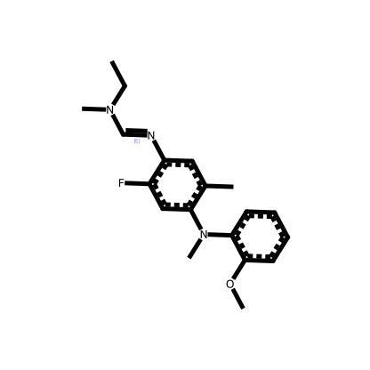 CCN(C)/C=N/c1cc(C)c(N(C)c2ccccc2OC)cc1F